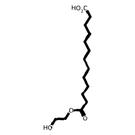 O=C(O)CCCCCCCCCCCC(=O)OCCO